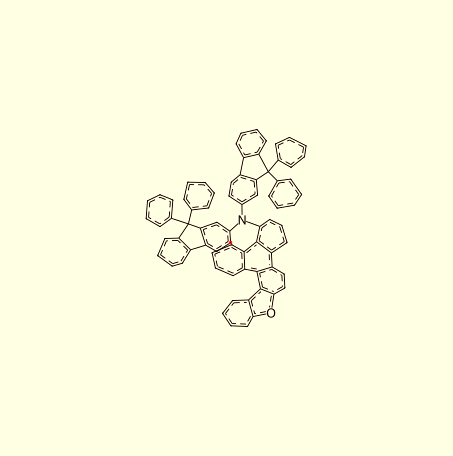 c1ccc(C2(c3ccccc3)c3ccccc3-c3ccc(N(c4ccc5c(c4)C(c4ccccc4)(c4ccccc4)c4ccccc4-5)c4cccc5c6ccc7oc8ccccc8c7c6c6ccccc6c45)cc32)cc1